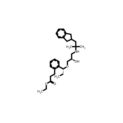 CCOC(=O)CCc1ccccc1[C@@H](CC)OC[C@H](O)CNC(C)(C)CC1Cc2ccccc2C1